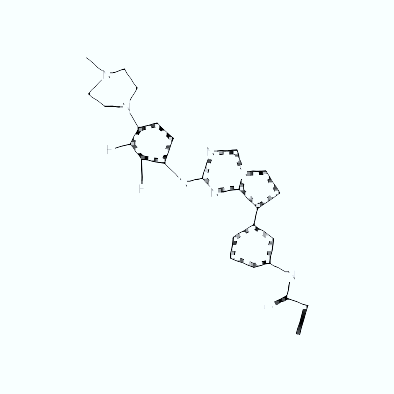 C=CC(=O)Nc1cccc(-c2ccn3cnc(Nc4ccc(N5CCN(C)CC5)c(F)c4F)nc23)c1